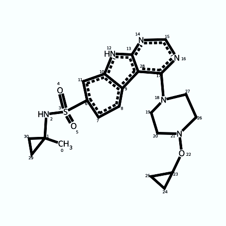 CC1(NS(=O)(=O)c2ccc3c(c2)[nH]c2ncnc(N4CCN(OC5CC5)CC4)c23)CC1